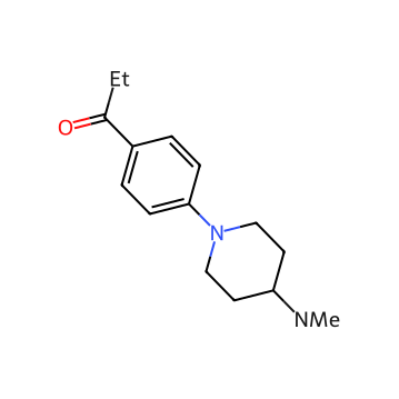 CCC(=O)c1ccc(N2CCC(NC)CC2)cc1